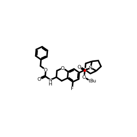 CC(C)(C)OC(=O)N1C2CCC1CN(c1cc(F)c3c(c1)OCC(NC(=O)OCc1ccccc1)C3)C2